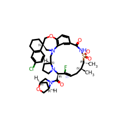 C[C@@H]1[C@@H](C)C/C=C(\F)[C@@H](C(=O)N2C[C@H]3C[C@@H]2CO3)N2CCC[C@H]2CN2C[C@@]3(CCCc4cc(Cl)ccc43)COc3ccc(cc32)C(=O)NS1(=O)=O